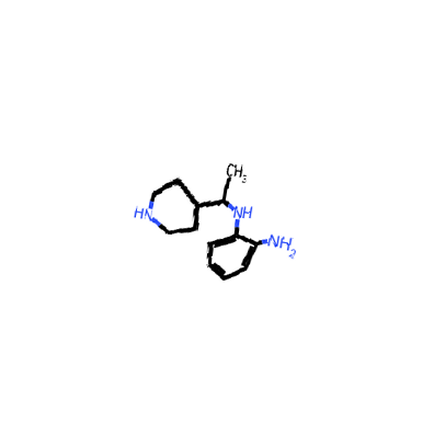 CC(Nc1ccccc1N)C1CCNCC1